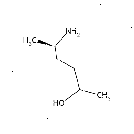 CC(O)CC[C@@H](C)N